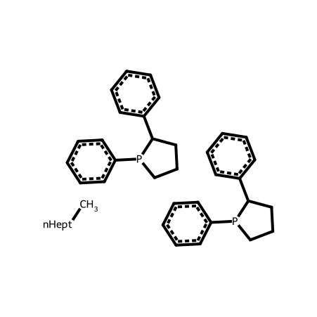 CCCCCCCC.c1ccc(C2CCCP2c2ccccc2)cc1.c1ccc(C2CCCP2c2ccccc2)cc1